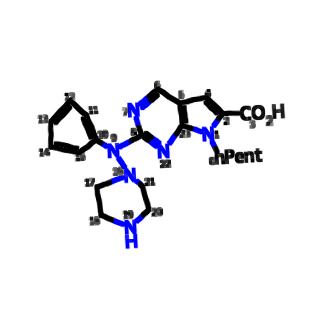 CCCCCn1c(C(=O)O)cc2cnc(N(c3ccccc3)N3CCNCC3)nc21